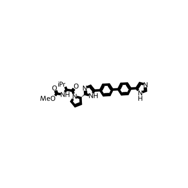 COC(=O)NC(C(=O)N1CC=C[C@H]1c1ncc(-c2ccc(-c3ccc(-c4cnc[nH]4)cc3)cc2)[nH]1)C(C)C